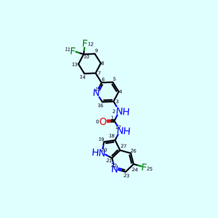 O=C(Nc1ccc(C2CCC(F)(F)CC2)nc1)Nc1c[nH]c2ncc(F)cc12